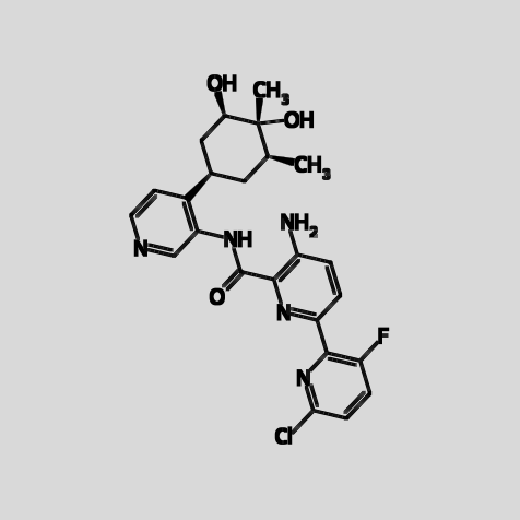 C[C@H]1C[C@@H](c2ccncc2NC(=O)c2nc(-c3nc(Cl)ccc3F)ccc2N)C[C@@H](O)[C@]1(C)O